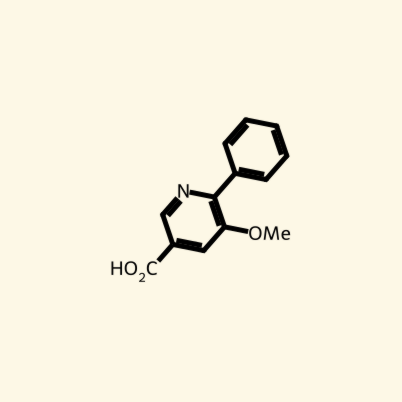 COc1cc(C(=O)O)cnc1-c1ccccc1